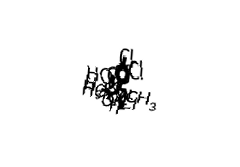 CN(CC(CC(O)CO)(c1ccc(Cl)c(Cl)c1)N(C)C(=O)O)C(=O)C(F)(F)Cl